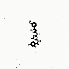 COc1cccc(-c2cc(Nc3nc(C)nc(NC(C)c4ccc(F)cc4F)n3)n[nH]2)c1